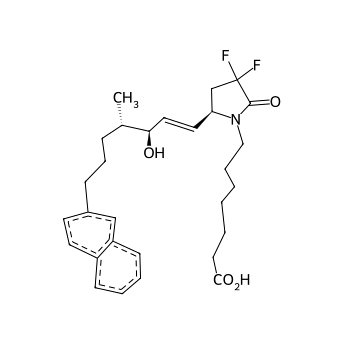 C[C@@H](CCCc1ccc2ccccc2c1)[C@H](O)C=C[C@H]1CC(F)(F)C(=O)N1CCCCCCC(=O)O